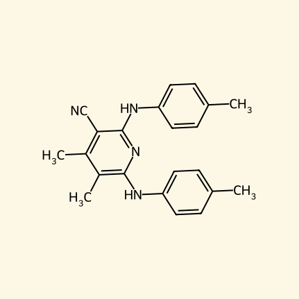 Cc1ccc(Nc2nc(Nc3ccc(C)cc3)c(C#N)c(C)c2C)cc1